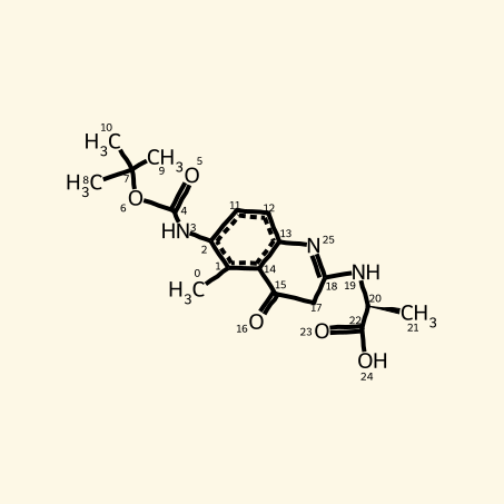 Cc1c(NC(=O)OC(C)(C)C)ccc2c1C(=O)CC(N[C@@H](C)C(=O)O)=N2